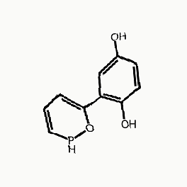 Oc1ccc(O)c(C2=CC=CPO2)c1